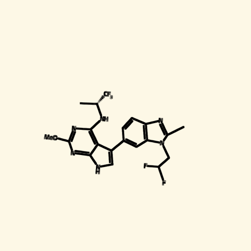 COc1nc(N[C@H](C)C(F)(F)F)c2c(-c3ccc4nc(C)n(CC(F)F)c4c3)c[nH]c2n1